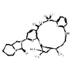 CC1CCNc2cccc(n2)S(=O)(=O)NC(=O)c2ccc(N3CC4CCCCN4C3=O)nc2N2CC1CC2(C)C